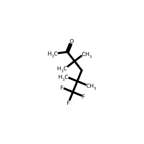 CC(=O)C(C)(C)CC(C)(C)C(F)(F)F